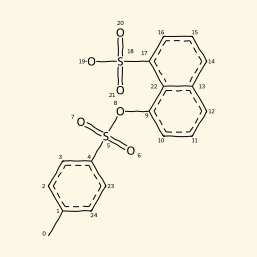 Cc1ccc(S(=O)(=O)Oc2cccc3cccc(S([O])(=O)=O)c23)cc1